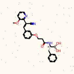 COc1cccnc1C(C#N)=Cc1cccc(OCCC(=O)N[C@@H](Cc2ccccc2)B(O)O)c1